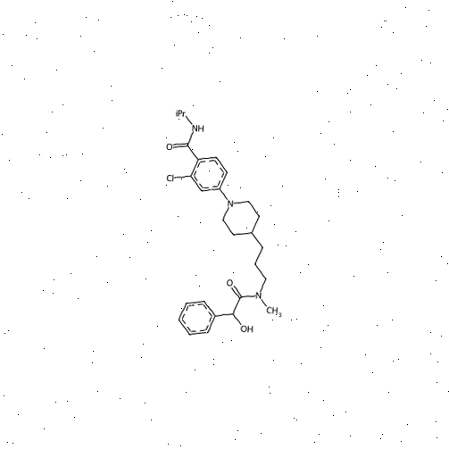 CC(C)NC(=O)c1ccc(N2CCC(CCCN(C)C(=O)C(O)c3ccccc3)CC2)cc1Cl